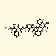 CCCCC(NC(=O)C1C(CC)CCC(C)N1C(=O)C(NC(=O)OC(C)(C)C)C1CCCCC1)C(=O)C(=O)NCC(=O)NC(C(=O)N(C)C)c1ccccc1